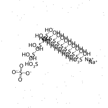 O=S(=O)(O)O.O=S(=O)(O)O.O=S(=O)(O)O.O=S(=O)(O)O.O=S(=O)(O)O.O=S(=O)(O)O.O=S(=O)(O)O.O=S(=O)(O)O.O=S(=O)(O)O.O=S(=O)(O)O.O=S(=O)(O)O.O=S(=O)(O)O.O=S(=O)(O)O.O=S(=O)([O-])[O-].[Na+].[Na+]